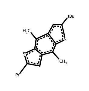 Cc1c2cc(C(C)(C)C)sc2c(C)c2cc(C(C)C)sc12